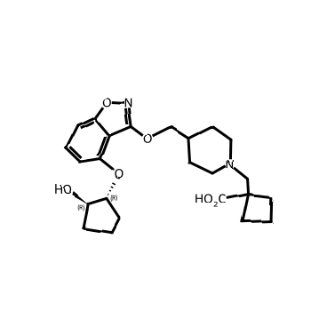 O=C(O)C1(CN2CCC(COc3noc4cccc(O[C@@H]5CCC[C@H]5O)c34)CC2)CCC1